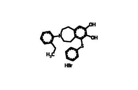 Br.CCc1ccccc1N1CCc2cc(O)c(O)c(Sc3ccccc3)c2CC1